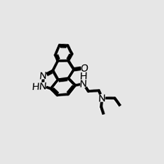 CCN(CC)CCNc1ccc2[nH]nc3c2c1C(=O)c1ccccc1-3